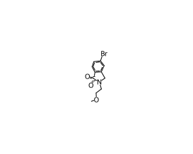 COCCN1Cc2cc(Br)ccc2S1(=O)=O